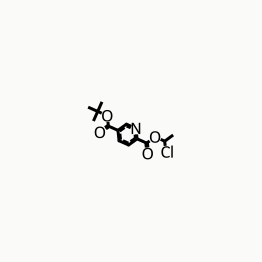 CC(Cl)OC(=O)c1ccc(C(=O)OC(C)(C)C)cn1